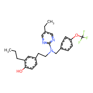 CCCc1cc(CCN(Cc2ccc(OC(F)(F)F)cc2)c2ncc(CC)cn2)ccc1O